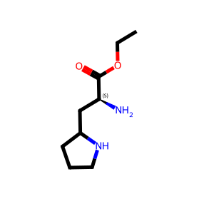 CCOC(=O)[C@@H](N)CC1CCCN1